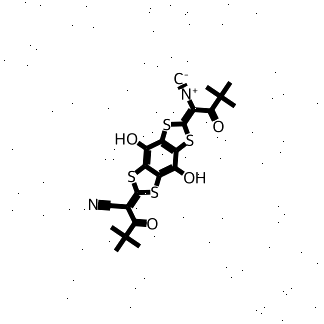 [C-]#[N+]C(C(=O)C(C)(C)C)=C1Sc2c(O)c3c(c(O)c2S1)SC(=C(C#N)C(=O)C(C)(C)C)S3